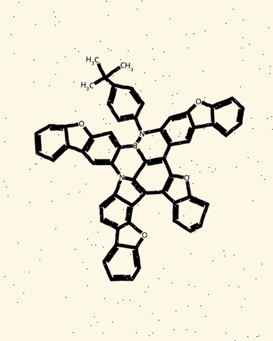 CC(C)(C)c1ccc(N2B3c4cc5oc6ccccc6c5cc4-n4c5ccc6c7ccccc7oc6c5c5c6c(oc7ccccc76)c(c3c54)-c3cc4c(cc32)oc2ccccc24)cc1